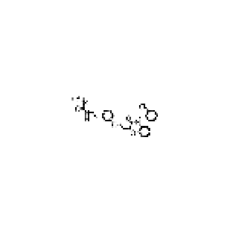 CCCCOC(=O)NCCc1cccc(OCCC2Oc3ccccc3N(Cc3ccccc3Cl)C2=O)c1